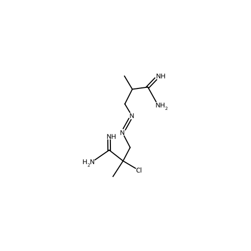 CC(CN=NCC(C)(Cl)C(=N)N)C(=N)N